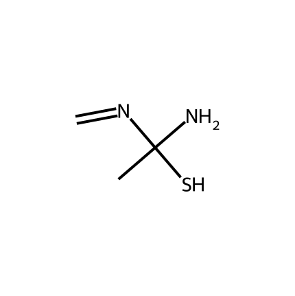 C=NC(C)(N)S